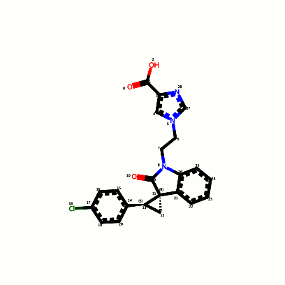 O=C(O)c1cn(CCN2C(=O)[C@@]3(C[C@H]3c3ccc(Cl)cc3)c3ccccc32)cn1